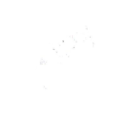 CNC(=O)c1cc(-c2cccc(CN3O[C@@H](CO)[C@@H]([C@H](C)O)[C@H]3C(=O)NC3C[C@H]4C[C@@H]([C@@H]3C)C4(C)C)c2OCCN(C)C)cc(N(C)C)c1